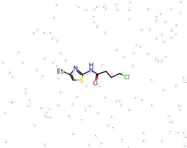 CCc1csc(NC(=O)CCCCl)n1